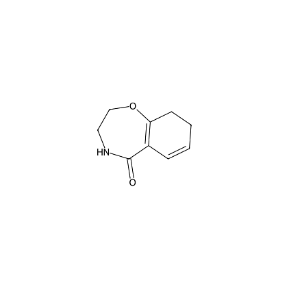 O=C1NCCOC2=C1C=CCC2